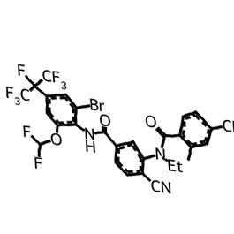 CCN(C(=O)c1ccc(C#N)cc1C)c1cc(C(=O)Nc2c(Br)cc(C(F)(C(F)(F)F)C(F)(F)F)cc2OC(F)F)ccc1C#N